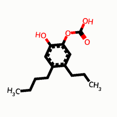 CCCCc1cc(O)c(OC(=O)O)cc1CCC